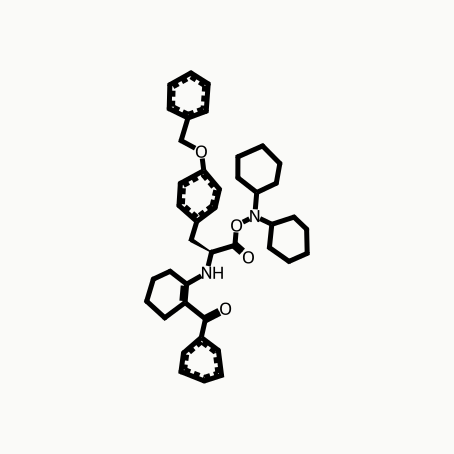 O=C(C1=C(N[C@@H](Cc2ccc(OCc3ccccc3)cc2)C(=O)ON(C2CCCCC2)C2CCCCC2)CCCC1)c1ccccc1